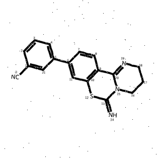 N#Cc1cccc(-c2ccc3c(c2)SC(=N)N2CCCN=C32)c1